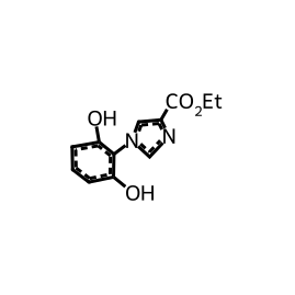 CCOC(=O)c1cn(-c2c(O)cccc2O)cn1